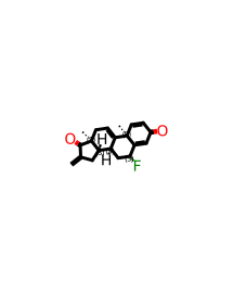 C=C1C[C@H]2[C@@H]3C[C@H](F)C4=CC(=O)C=C[C@]4(C)C3=CC[C@]2(C)C1=O